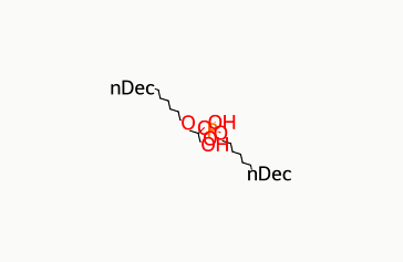 CCCCCCCCCCCCCCCCOCC(CO)OP(=O)(O)OCCCCCCCCCCCCCCCC